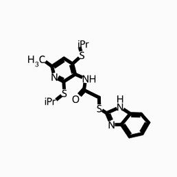 Cc1cc(SC(C)C)c(NC(=O)CSc2nc3ccccc3[nH]2)c(SC(C)C)n1